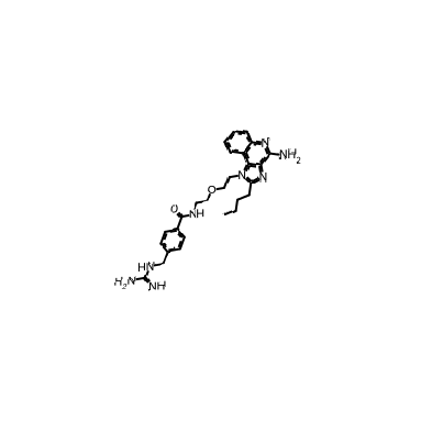 CCCCc1nc2c(N)nc3ccccc3c2n1CCOCCNC(=O)c1ccc(CNC(=N)N)cc1